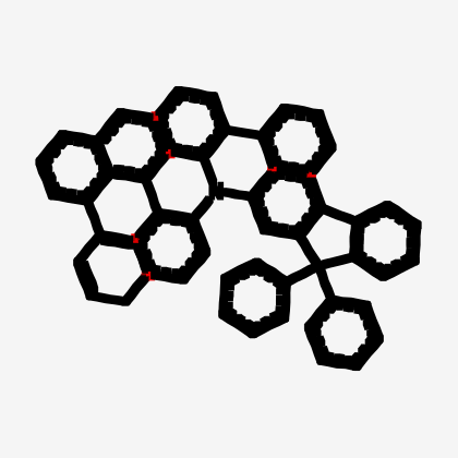 C1=CC(c2cccc3cccc(-c4ccccc4N(c4ccc5c(c4)C(c4ccccc4)(c4ccccc4)c4ccccc4-5)c4ccccc4-c4ccccc4)c23)=CCC1